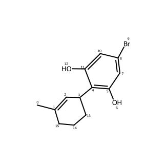 CC1=CC(c2c(O)cc(Br)cc2O)CCC1